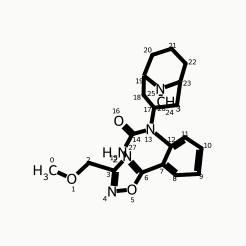 COCc1noc(-c2ccccc2N(C(N)=O)C2CC3CCCC(C2)N3C)n1